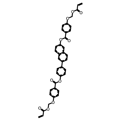 C=CC(=O)OCOc1ccc(C(=O)Oc2ccc(-c3ccc4cc(OC(=O)c5ccc(OCOC(=O)C=C)cc5)ccc4c3)cc2)cc1